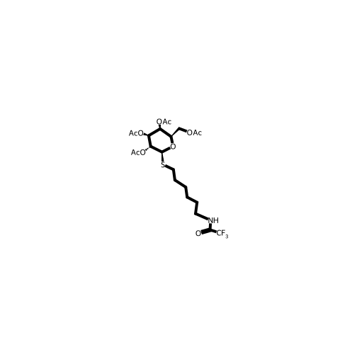 CC(=O)OC[C@H]1O[C@@H](SCCCCCCNC(=O)C(F)(F)F)[C@H](OC(C)=O)[C@@H](OC(C)=O)[C@H]1OC(C)=O